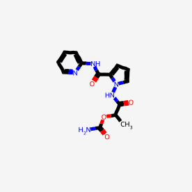 CC(OC(N)=O)C(=O)Nn1cccc1C(=O)Nc1ccccn1